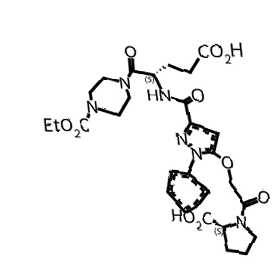 CCOC(=O)N1CCN(C(=O)[C@H](CCC(=O)O)NC(=O)c2cc(OCC(=O)N3CCC[C@H]3C(=O)O)n(-c3ccccc3)n2)CC1